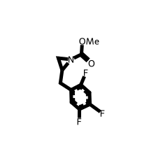 COC(=O)N1CC1Cc1cc(F)c(F)cc1F